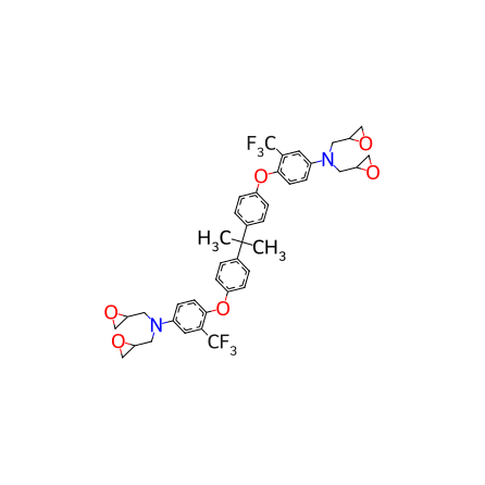 CC(C)(c1ccc(Oc2ccc(N(CC3CO3)CC3CO3)cc2C(F)(F)F)cc1)c1ccc(Oc2ccc(N(CC3CO3)CC3CO3)cc2C(F)(F)F)cc1